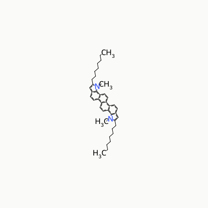 CCCCCCCCc1cc2ccc3c4ccc5c(ccc6cc(CCCCCCCC)n(C)c65)c4ccc3c2n1C